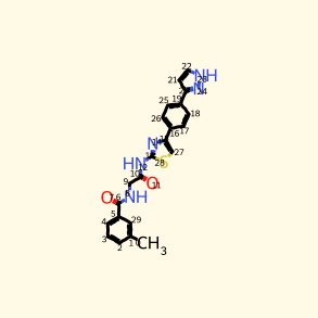 Cc1cccc(C(=O)NCC(=O)Nc2nc(-c3ccc(-c4cc[nH]n4)cc3)cs2)c1